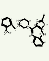 COc1ccccc1C[C@H]1CN(C2=Nc3ccccc3Nc3sc(C)nc32)CCN1